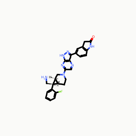 NC[C@]1(c2ccccc2F)[C@@H]2CCN(c3cnc4c(-c5ccc6c(c5)CC(=O)N6)n[nH]c4n3)C[C@@H]21